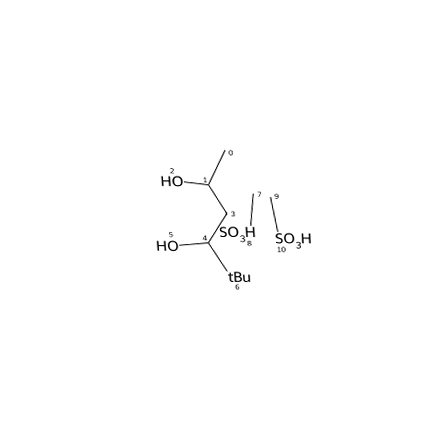 CC(O)CC(O)C(C)(C)C.CS(=O)(=O)O.CS(=O)(=O)O